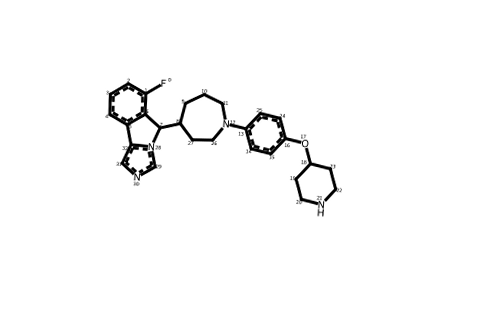 Fc1cccc2c1C(C1CCCN(c3ccc(OC4CCNCC4)cc3)CC1)n1cncc1-2